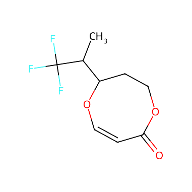 CC(C1CCOC(=O)C=CO1)C(F)(F)F